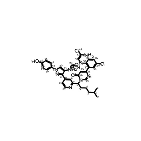 CC(C)CCCC(c1cc(-c2nn(-c3ccc(O)nc3)cc2NC=O)ccn1)n1cnc(-c2cc(Cl)ccc2N(N)/C=C(\N)Cl)cc1=O